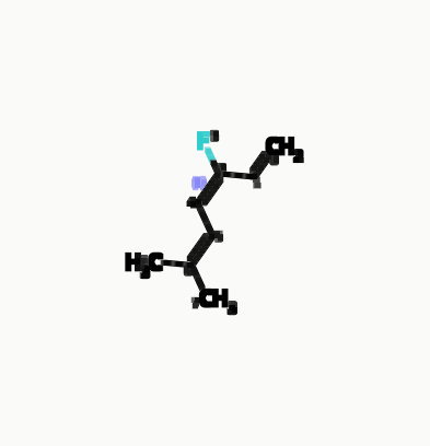 C=C/C(F)=C\C=C(C)C